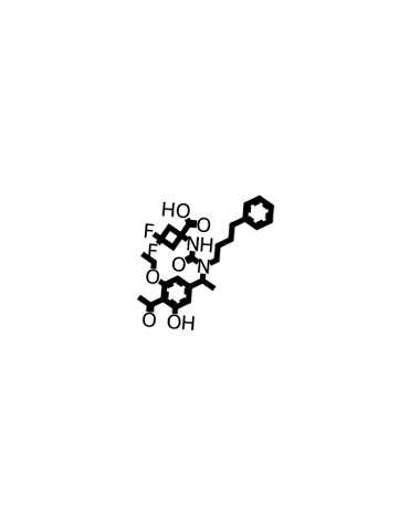 CCOc1cc(C(C)N(CCCCc2ccccc2)C(=O)NC2(C(=O)O)CC(F)(F)C2)cc(O)c1C(C)=O